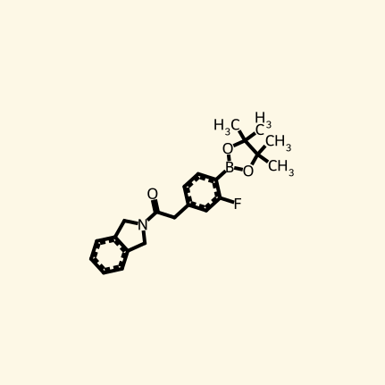 CC1(C)OB(c2ccc(CC(=O)N3Cc4ccccc4C3)cc2F)OC1(C)C